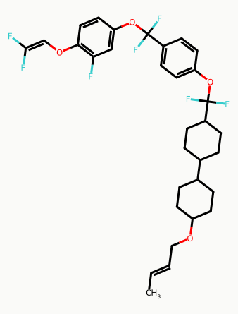 C/C=C/COC1CCC(C2CCC(C(F)(F)Oc3ccc(C(F)(F)Oc4ccc(OC=C(F)F)c(F)c4)cc3)CC2)CC1